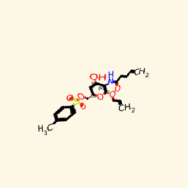 C=CCCC(=O)N[C@H]1[C@H](OCC=C)O[C@H](COS(=O)(=O)c2ccc(C)cc2)C[C@@H]1O